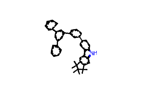 CC1(C)c2cc3[nH]c4ccc(-c5cccc(-c6cc(-c7ccccc7)cc(-c7ccccc7)c6)c5)cc4c3cc2C(C)(C)C1(C)C